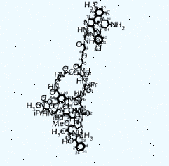 CC[C@H](C)[C@@H]([C@@H](CC(=O)N1CCC[C@H]1[C@H](OC)[C@@H](C)C(=O)N[C@H](C)[C@@H](O)c1ccccc1)OC)N(C)C(=O)[C@@H](NC(=O)[C@H](C(C)C)N(C)C(=O)OCc1ccc2cc1C(=O)NCCNC(=O)CC[C@H](NC(=O)CCOCCC(=O)NCCNc1ncc(-c3cc(C)cc(F)c3)c(N3CCC(N)CC3)c1-c1nc3ccc(Cl)cc3[nH]1)C(=O)N[C@@H](C(C)C)C(=O)N[C@@H](CCCNC(N)=O)C(=O)N2)C(C)C